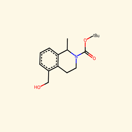 CC1c2cccc(CO)c2CCN1C(=O)OC(C)(C)C